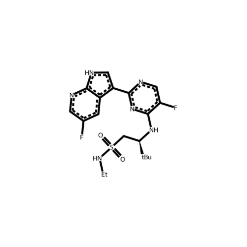 CCNS(=O)(=O)C[C@@H](Nc1nc(-c2c[nH]c3ncc(F)cc23)ncc1F)C(C)(C)C